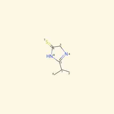 CC(C)C1=NCC(=S)N1